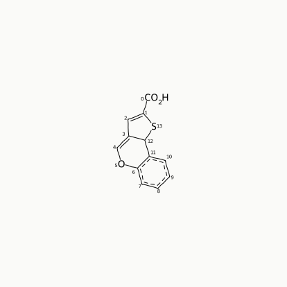 O=C(O)C1=CC2=COc3ccccc3C2S1